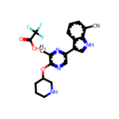 Cc1nc(-c2c[nH]c3c(C#N)cccc23)cnc1OC1CCCNC1.O=C(O)C(F)(F)F